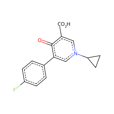 O=C(O)c1cn(C2CC2)cc(-c2ccc(F)cc2)c1=O